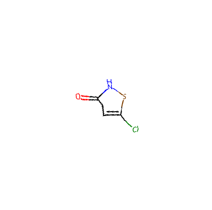 O=c1cc(Cl)s[nH]1